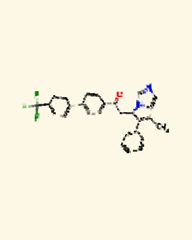 CC1=C(c2ccccc2)C(CC(=O)c2ccc(-c3ccc(C(F)(F)F)cc3)cc2)n2cncc21